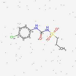 CCCS(=O)(=O)NC(=O)Nc1ccc(Cl)cc1